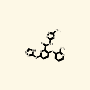 Cc1nsc(NC(=O)c2nc(Sc3nnc[nH]3)ccc2Sc2cccnc2C)n1